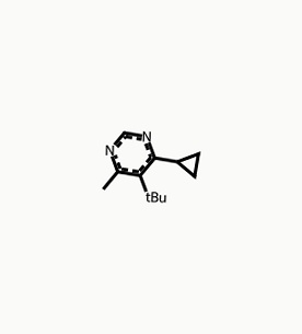 Cc1ncnc(C2CC2)c1C(C)(C)C